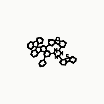 c1ccc(-c2cccc(-c3nc(-c4cccc5c4sc4ccccc45)nc(-c4cccc5oc6ccc(-c7ccc8c(c7)C7(c9ccccc9-c9ccccc97)c7ccccc7-8)cc6c45)n3)c2)cc1